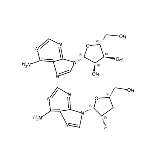 Nc1ncnc2c1ncn2[C@@H]1O[C@H](CO)C[C@@H]1F.Nc1ncnc2c1ncn2[C@@H]1O[C@H](CO)[C@@H](O)[C@H]1O